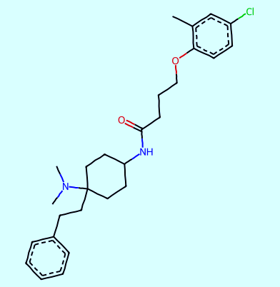 Cc1cc(Cl)ccc1OCCCC(=O)NC1CCC(CCc2ccccc2)(N(C)C)CC1